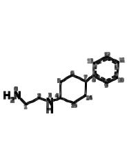 NCCNC1CCC(c2ccccc2)CC1